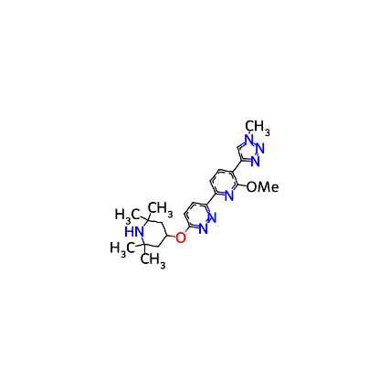 COc1nc(-c2ccc(OC3CC(C)(C)NC(C)(C)C3)nn2)ccc1-c1cn(C)nn1